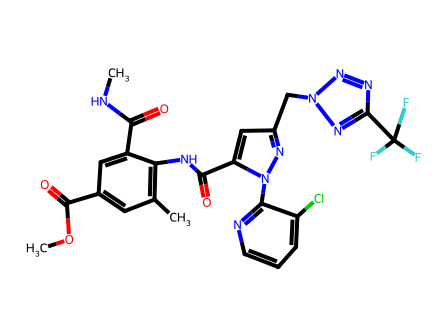 CNC(=O)c1cc(C(=O)OC)cc(C)c1NC(=O)c1cc(Cn2nnc(C(F)(F)F)n2)nn1-c1ncccc1Cl